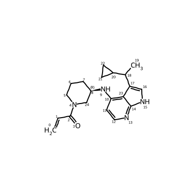 C=CC(=O)N1CCC[C@@H](Nc2ccnc3[nH]cc(C(C)C4CC4)c23)C1